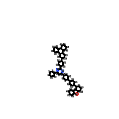 c1ccc(-c2cc(-c3ccc(-c4ccc(-c5cccc6oc7ccccc7c56)cc4)cc3)nc(-c3ccc(-c4ccc5c6ccccc6c6ccccc6c5c4)cc3)n2)cc1